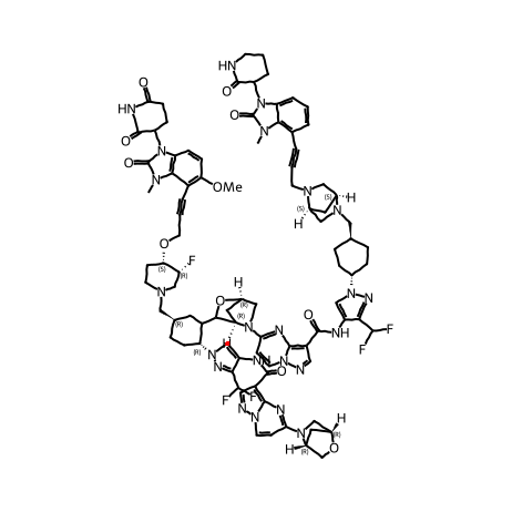 COc1ccc2c(c1C#CCO[C@H]1CCN(C[C@@H]3CC[C@@H](n4cc(NC(=O)c5cnn6ccc(N7C[C@H]8C[C@@H]7CO8)nc56)c(C(F)F)n4)C(C4O[C@@H]5C[C@H]4N(c4ccn6ncc(C(=O)Nc7cn([C@H]8CC[C@H](CN9C[C@@H]%10C[C@H]9CN%10CC#Cc9cccc%10c9n(C)c(=O)n%10C9CCCNC9=O)CC8)nc7C(F)F)c6n4)C5)C3)C[C@H]1F)n(C)c(=O)n2C1CCC(=O)NC1=O